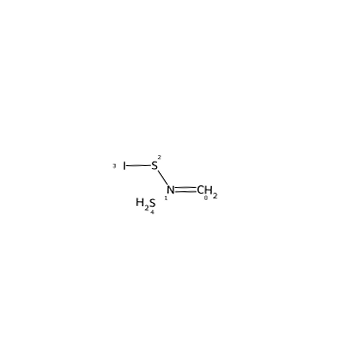 C=NSI.S